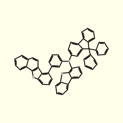 c1ccc(C2(c3ccccc3)c3ccccc3-c3ccc(N(c4cccc(-c5cccc6oc7c8ccccc8ccc7c56)c4)c4cccc5c4sc4ccccc45)cc32)cc1